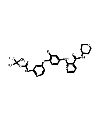 CC(C)(C)OC(=O)Nc1cc(Oc2ccc(Nc3ncccc3C(=O)NC3CCOCC3)cc2F)ccn1